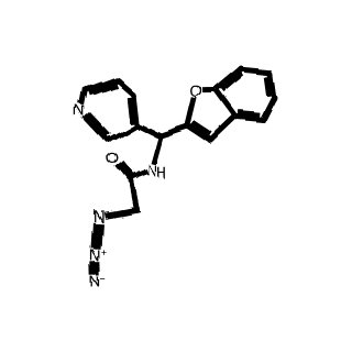 [N-]=[N+]=NCC(=O)NC(c1cccnc1)c1cc2ccccc2o1